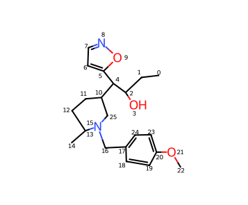 CCC(O)C(c1ccno1)C1CCC(C)N(Cc2ccc(OC)cc2)C1